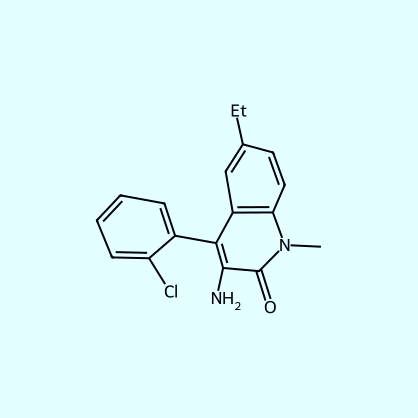 CCc1ccc2c(c1)c(-c1ccccc1Cl)c(N)c(=O)n2C